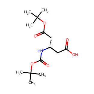 CC(C)(C)OC(=O)C[C@H](CC(=O)O)NC(=O)OC(C)(C)C